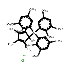 COc1cc(OC)c(OC)c([Si](c2cc(OC)cc(OC)c2OC)(c2cc(OC)cc(OC)c2OC)[C]2([Ti+3])C(C)=C(C)C(C)=C2C)c1.[Cl-].[Cl-].[Cl-]